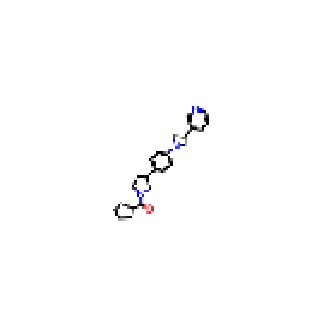 O=C(C1CCCC1)N1CCC(c2ccc(N3CC(c4cccnc4)C3)cc2)C1